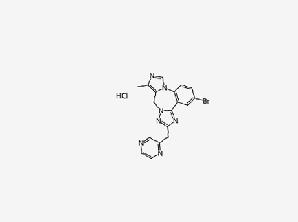 Cc1ncn2c1Cn1nc(Cc3cnccn3)nc1-c1cc(Br)ccc1-2.Cl